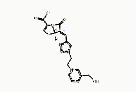 O=C([O-])C1=CS[C@@H]2/C(=C\c3cn(CC[n+]4cccc(CO)c4)nn3)C(=O)N12